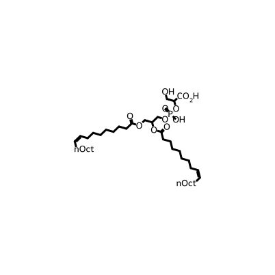 CCCCCCCC/C=C\CCCCCCCC(=O)OCC(COP(=O)(O)OC(CO)C(=O)O)OC(=O)CCCCCCC/C=C\CCCCCCCC